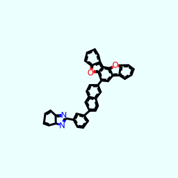 C1=CC2=NC(c3cccc(-c4ccc5cc(-c6cc7c8ccccc8oc7c7c6oc6ccccc67)ccc5c4)c3)=NC2C=C1